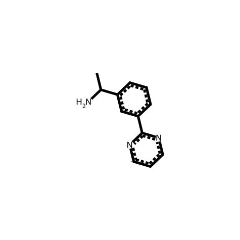 CC(N)c1cccc(-c2n[c]ccn2)c1